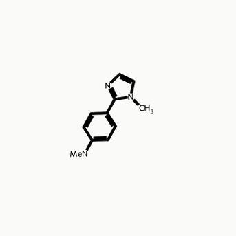 CNc1ccc(-c2nccn2C)cc1